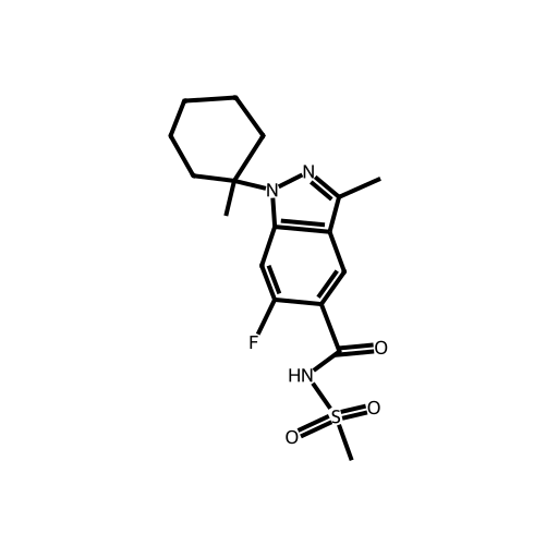 Cc1nn(C2(C)CCCCC2)c2cc(F)c(C(=O)NS(C)(=O)=O)cc12